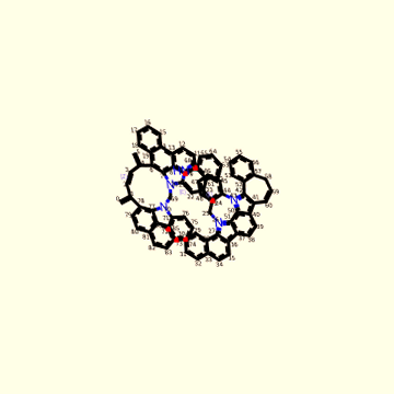 C=C1/C=C\C(=C)c2c(c3ccccc3c3ccccc23)N(/C(=C/C(=C\Cn2c3c4ccccc4ccc3c3ccc4c5c(n(-c6ccccc6)c4c32)-c2ccccc2CC=C5)c2ccccc2)NC)CN(c2ccccc2)c2c1ccc1ccccc21